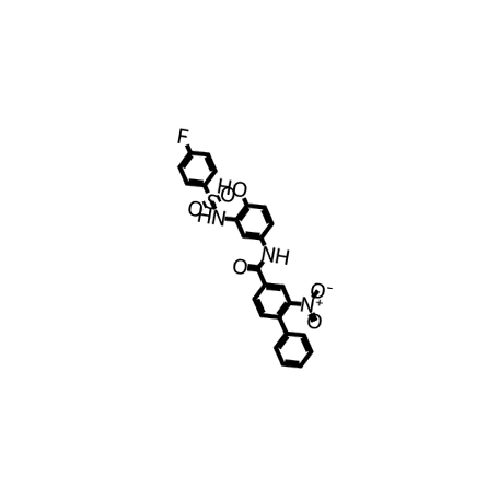 O=C(Nc1ccc(O)c(NS(=O)(=O)c2ccc(F)cc2)c1)c1ccc(-c2ccccc2)c([N+](=O)[O-])c1